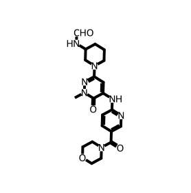 Cn1nc(N2CCCC(NC=O)C2)cc(Nc2ccc(C(=O)N3CCOCC3)cn2)c1=O